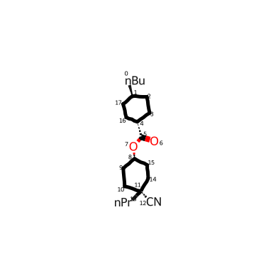 CCCC[C@H]1CC[C@H](C(=O)O[C@H]2CC[C@](C#N)(CCC)CC2)CC1